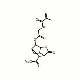 C=C(C)C(=O)NCC(=O)OC1C2CC3C1OC(=O)C3C2C(=O)OC